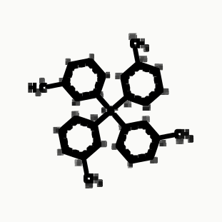 Cc1cccc([B-](c2cccc(C)c2)(c2cccc(C)c2)c2cccc(C)c2)c1